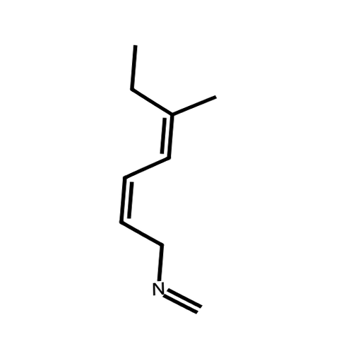 C=NC/C=C\C=C(\C)CC